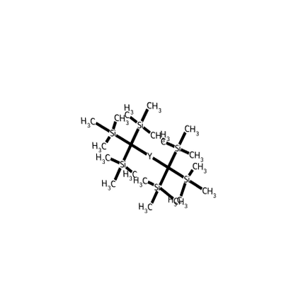 C[Si](C)(C)[C]([Y][C]([Si](C)(C)C)([Si](C)(C)C)[Si](C)(C)C)([Si](C)(C)C)[Si](C)(C)C